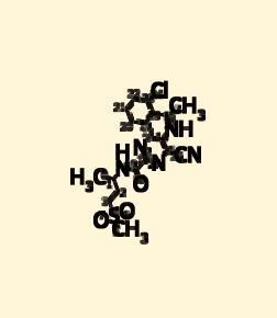 C[C@H](/C=C/S(C)(=O)=O)NC(=O)c1ncc(N[C@@H](C)c2ccccc2Cl)c(C#N)n1